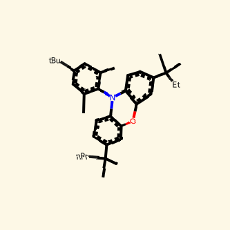 CCCC(C)(C)c1ccc2c(c1)Oc1cc(C(C)(C)CC)ccc1N2c1c(C)cc(C(C)(C)C)cc1C